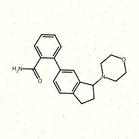 NC(=O)c1ccccc1-c1ccc2c(c1)C(N1CCOCC1)CC2